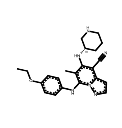 CCOc1ccc(Nc2c(C)c(N[C@H]3CCCNC3)c(C#N)c3ccnn23)cc1